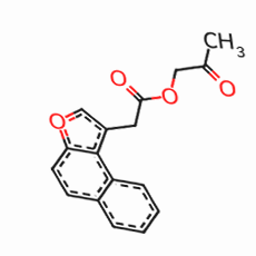 CC(=O)COC(=O)Cc1coc2ccc3ccccc3c12